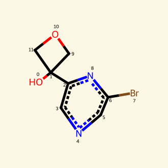 OC1(c2cncc(Br)n2)COC1